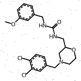 COc1cccc(CNC(=O)NCC2CN(Cc3ccc(Cl)c(Cl)c3)CCO2)c1